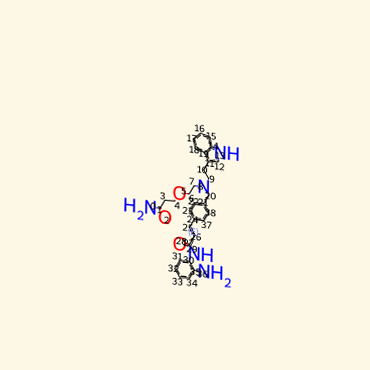 NC(=O)CCOCCN(CCc1c[nH]c2ccccc12)Cc1ccc(/C=C/C(=O)Nc2ccccc2N)cc1